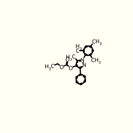 CCOC(=O)Oc1c(-c2ccccc2)nn(-c2c(C)cc(C)cc2C)c1C